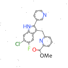 COC(=O)c1cccc(Cc2c(-c3cccnc3)[nH]c3cc(Cl)c(F)cc23)n1